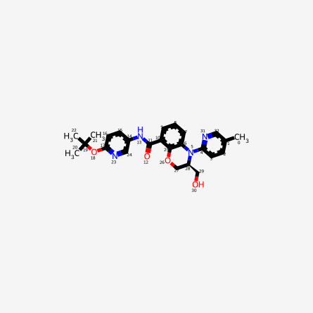 Cc1ccc(N2c3cccc(C(=O)Nc4ccc(OC(C)(C)C)nc4)c3OC[C@@H]2CO)nc1